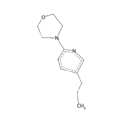 CCCc1ccc(N2CCOCC2)nc1